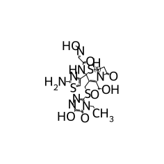 CCn1c(SCC2=C(C(=O)O)N3C(=O)C[C@@H]3SC2(NC(=O)C=NO)c2csc(N)n2)nnc(O)c1=O